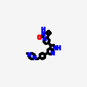 CN1CCN(Cc2ccc(-c3cnc4[nH]cc(C5=CC6C7CCC7NC(=O)N6CC5)c4c3)cc2)CC1